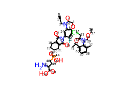 C#CCN1C(=O)COc2cc(F)c(N3C(=O)C4=C(CCCC4)C3=O)cc21.CCOCN(C(=O)CCl)c1c(C)cccc1CC.CP(=O)(O)CCC(N)C(=O)O